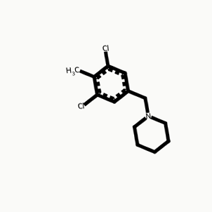 Cc1c(Cl)cc(CN2CCCCC2)cc1Cl